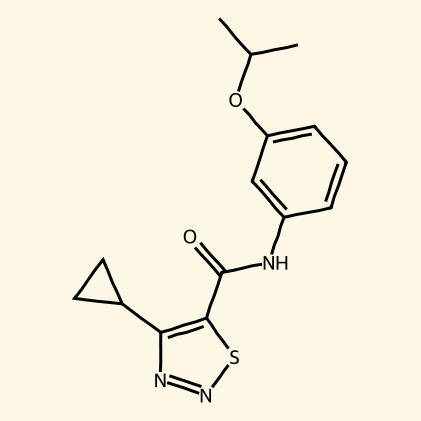 CC(C)Oc1cccc(NC(=O)c2snnc2C2CC2)c1